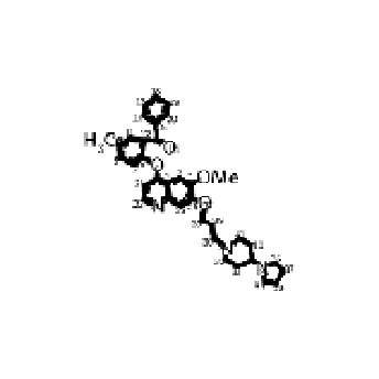 COc1cc2c(Oc3ccc(C)cc3C(=O)c3ccccc3)ccnc2cc1OCCCN1CCC(N2CCCC2)CC1